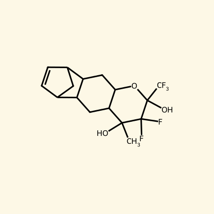 CC1(O)C2CC3C4C=CC(C4)C3CC2OC(O)(C(F)(F)F)C1(F)F